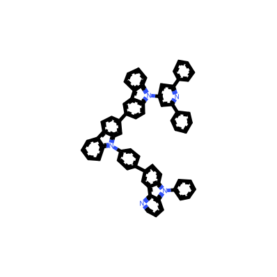 c1ccc(-c2cc(-n3c4ccccc4c4cc(-c5ccc6c7ccccc7n(-c7ccc(-c8ccc9c(c8)c8ncccc8n9-c8ccccc8)cc7)c6c5)ccc43)cc(-c3ccccc3)n2)cc1